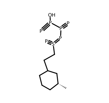 C[C@@H]1CCCC(CCS(#P)=PP(#P)P(O)#P)C1